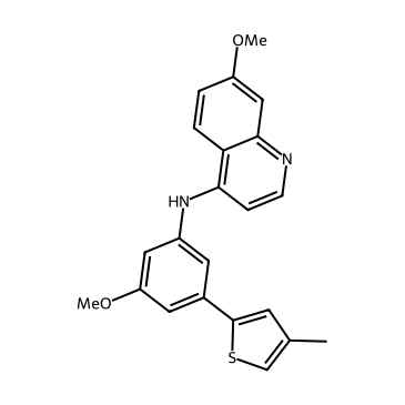 COc1cc(Nc2ccnc3cc(OC)ccc23)cc(-c2cc(C)cs2)c1